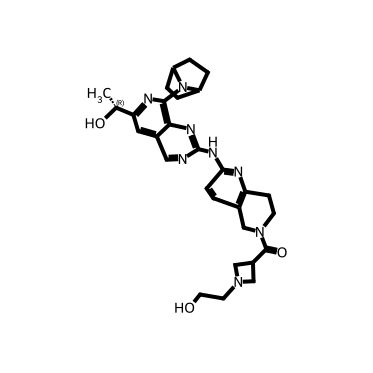 C[C@@H](O)c1cc2cnc(Nc3ccc4c(n3)CCN(C(=O)C3CN(CCO)C3)C4)nc2c(N2C3CCC2CC3)n1